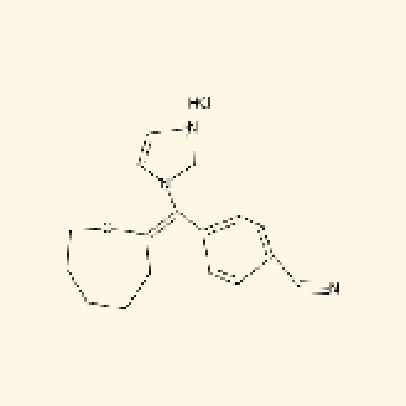 Cl.N#Cc1ccc(C(=C2CCCCCC2)n2ccnc2)cc1